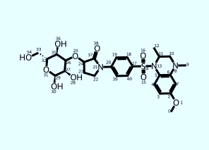 COc1ccc2c(c1)N(C)CC(C)N2S(=O)(=O)c1ccc(N2CCC(OC3[C@@H](O)[C@@H](O)O[C@H](CO)[C@H]3O)C2=O)cc1